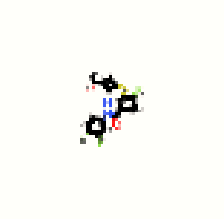 CC(=O)C1CC(Sc2cc(C(=O)Nc3ccc(F)c(F)c3)ccc2F)C1